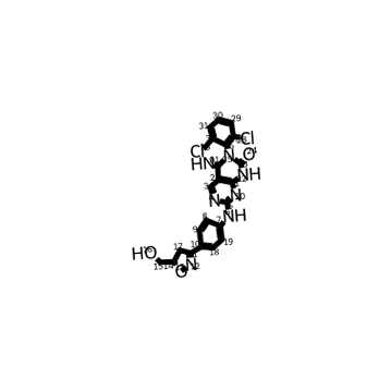 N=c1c2cnc(Nc3ccc(C4=NOC(CO)C4)cc3)nc2[nH]c(=O)n1-c1c(Cl)cccc1Cl